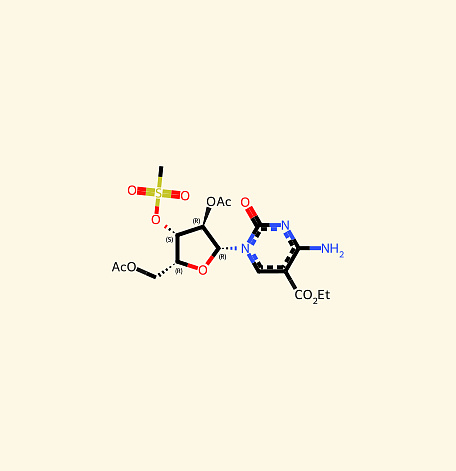 CCOC(=O)c1cn([C@@H]2O[C@H](COC(C)=O)[C@H](OS(C)(=O)=O)[C@H]2OC(C)=O)c(=O)nc1N